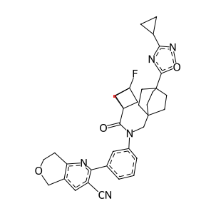 N#Cc1cc2c(nc1-c1cccc(N(CC34CCC(c5nc(C6CC6)no5)(CC3)CC4)C(=O)C34CC(F)(C3)C4)c1)CCOC2